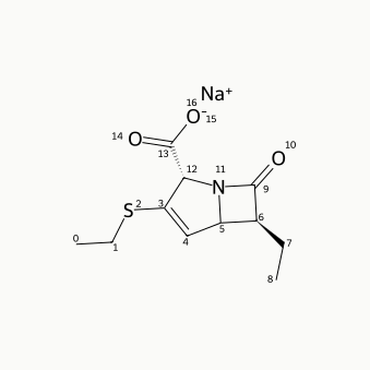 CCSC1=CC2[C@H](CC)C(=O)N2[C@H]1C(=O)[O-].[Na+]